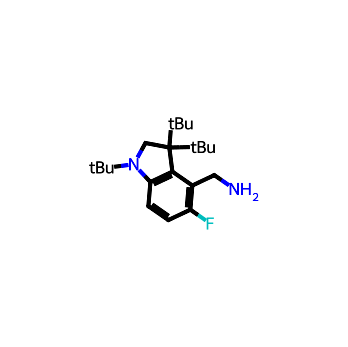 CC(C)(C)N1CC(C(C)(C)C)(C(C)(C)C)c2c1ccc(F)c2CN